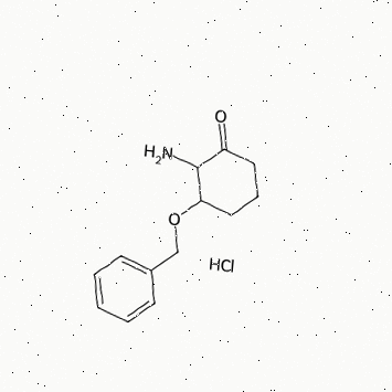 Cl.NC1C(=O)CCCC1OCc1ccccc1